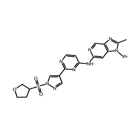 Cc1nc2cnc(Nc3ccnc(-c4cnn(S(=O)(=O)C5CCOC5)c4)n3)cc2n1C(C)C